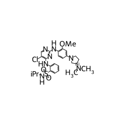 COc1cc(N2CC[C@H](N(C)C)C2)ccc1Nc1ncc(Cl)c(Nc2ccccc2S(=O)(=O)NC(C)C)n1